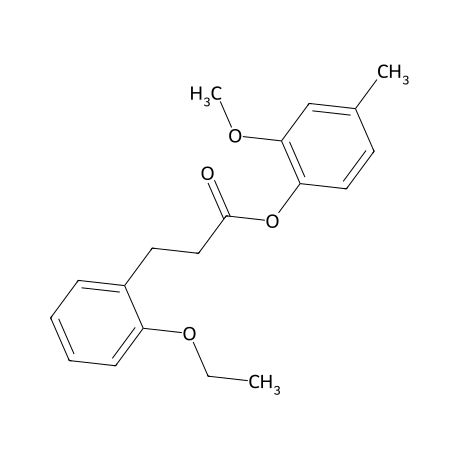 CCOc1ccccc1CCC(=O)Oc1ccc(C)cc1OC